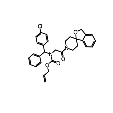 C=CCOC(=O)N(CC(=O)N1CCC2(CC1)OCc1ccccc12)C(c1ccccc1)c1ccc(Cl)cc1